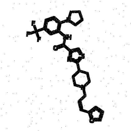 O=C(Nc1cc(C(F)(F)F)ccc1N1CCCC1)c1csc(C2CCN(C/C=C\c3ccco3)CC2)n1